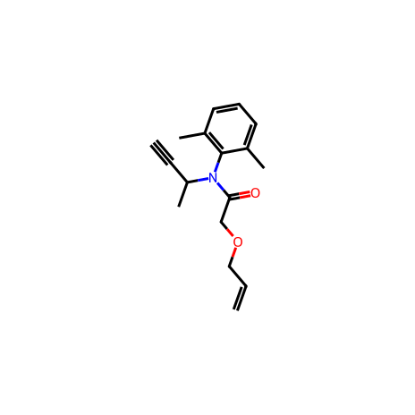 C#CC(C)N(C(=O)COCC=C)c1c(C)cccc1C